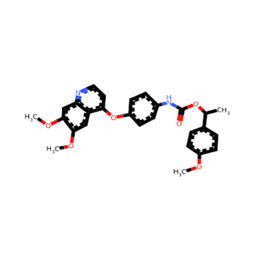 COc1ccc(C(C)OC(=O)Nc2ccc(Oc3ccnc4cc(OC)c(OC)cc34)cc2)cc1